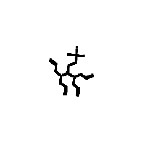 C=CCN(CC=C)P(OCC(F)(F)F)N(CC=C)CC=C